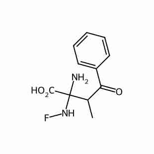 CC(C(=O)c1ccccc1)C(N)(NF)C(=O)O